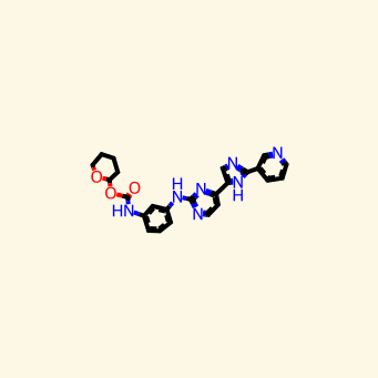 O=C(Nc1cccc(Nc2nccc(-c3cnc(-c4cccnc4)[nH]3)n2)c1)OC1CCCCO1